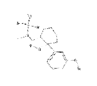 [2H]Oc1cccc([C@]2(O[2H])CCCC[C@H]2CN(C)C([2H])([2H])[2H])c1